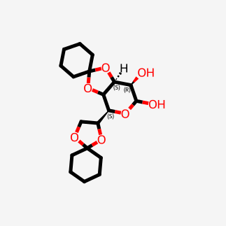 OC1O[C@@H](C2COC3(CCCCC3)O2)C2OC3(CCCCC3)O[C@H]2[C@H]1O